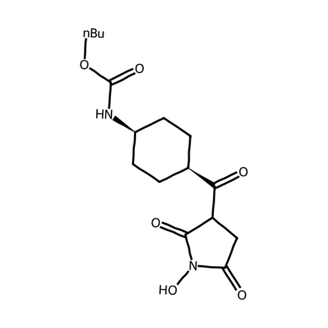 CCCCOC(=O)N[C@H]1CC[C@@H](C(=O)C2CC(=O)N(O)C2=O)CC1